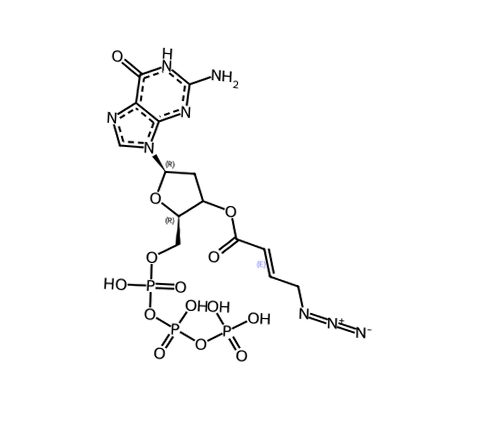 [N-]=[N+]=NC/C=C/C(=O)OC1C[C@H](n2cnc3c(=O)[nH]c(N)nc32)O[C@@H]1COP(=O)(O)OP(=O)(O)OP(=O)(O)O